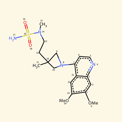 COc1cc2nccc(N3CC(C)(CCN(C)S(N)(=O)=O)C3)c2cc1OC